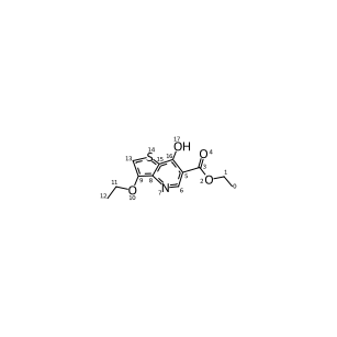 CCOC(=O)c1cnc2c(OCC)csc2c1O